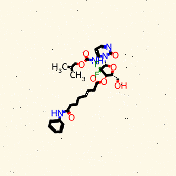 CC(C)COC(=O)Nc1ccnc(=O)n1[C@@H]1O[C@H](CO)[C@@H](OC(=O)CCCCCCC(=O)Nc2ccccc2)C1(F)F